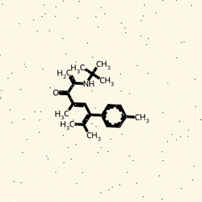 C=C(NC(C)(C)C)C(=O)/C(C)=C/C(=C(C)C)c1ccc(C)cc1